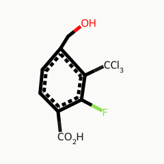 O=C(O)c1ccc(CO)c(C(Cl)(Cl)Cl)c1F